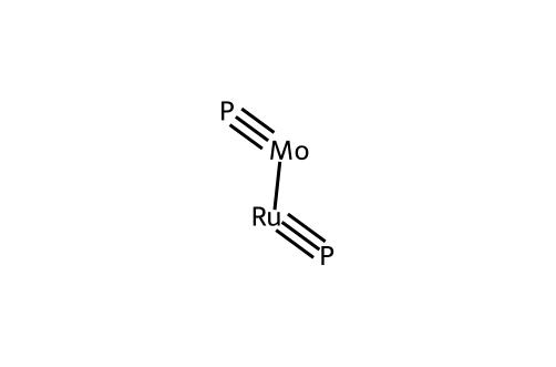 [P]#[Mo][Ru]#[P]